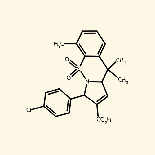 Cc1cccc2c1S(=O)(=O)N1C(c3ccc(Cl)cc3)C(C(=O)O)=CC1C2(C)C